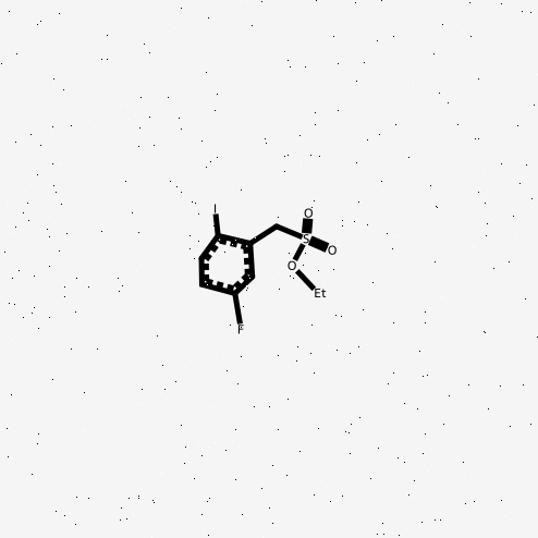 CCOS(=O)(=O)Cc1cc(F)ccc1I